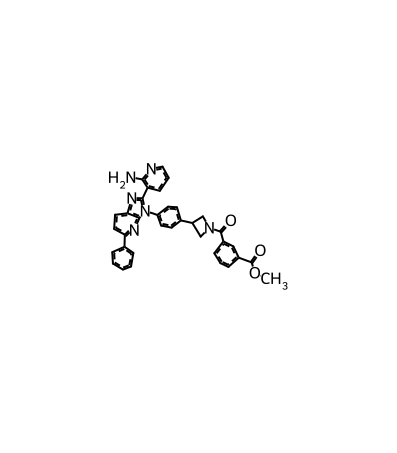 COC(=O)c1cccc(C(=O)N2CC(c3ccc(-n4c(-c5cccnc5N)nc5ccc(-c6ccccc6)nc54)cc3)C2)c1